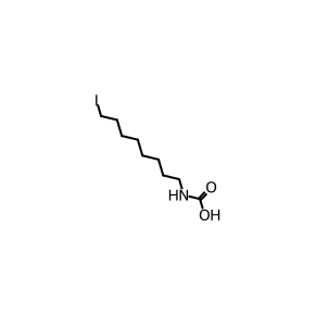 O=C(O)NCCCCCCCCI